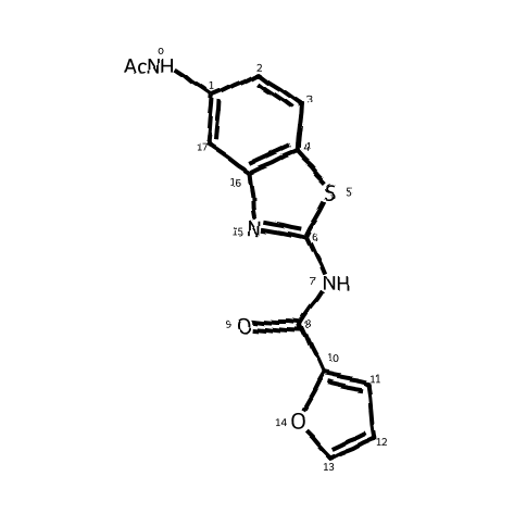 CC(=O)Nc1ccc2sc(NC(=O)c3ccco3)nc2c1